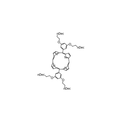 CCCCCCCCCCCCOc1cc(OCCCCCCCCCCCC)cc(C2=C3C=CC(=N3)C=C3C=CC(=N3)C(c3cc(OCCCCCCCCCCCC)cc(OCCCCCCCCCCCC)c3)=C3C=CC(=N3)C=C3C=CC2=N3)c1